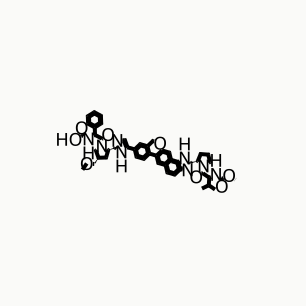 COC[C@H]1C[C@@H](c2ncc(-c3ccc4c(c3)COc3cc5c(ccc6nc([C@@H]7CCCN7C(=O)C(NC(=O)OC)C(C)C)[nH]c65)cc3-4)[nH]2)N(C(=O)C(NC(=O)O)c2ccccc2)C1